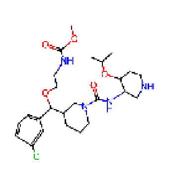 COC(=O)NCCOC(c1cccc(Cl)c1)C1CCCN(C(=O)NC2CNCCC2OC(C)C)C1